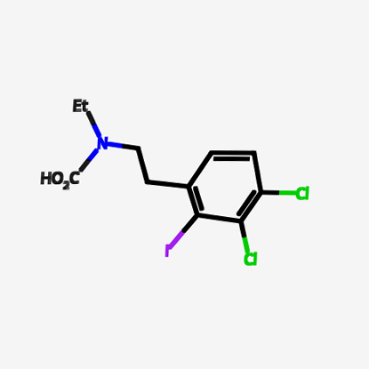 CCN(CCc1ccc(Cl)c(Cl)c1I)C(=O)O